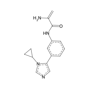 C=C(N)C(=O)Nc1cccc(-c2cncn2C2CC2)c1